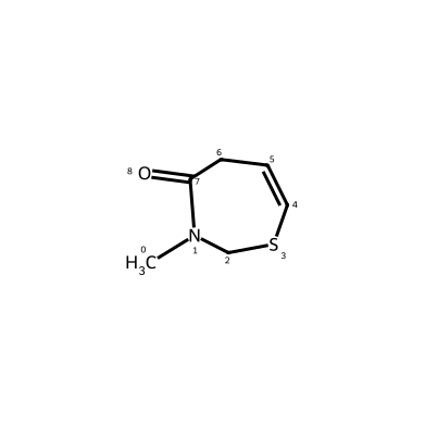 CN1CSC=CCC1=O